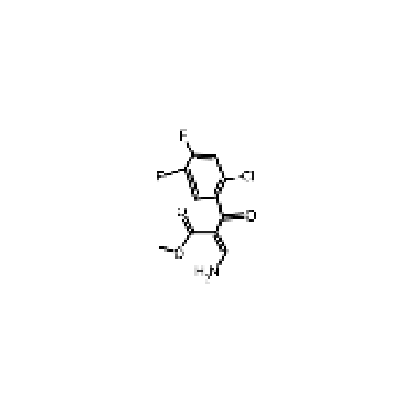 COC(=O)C(=CN)C(=O)c1cc(F)c(F)cc1Cl